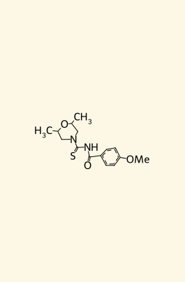 COc1ccc(C(=O)NC(=S)N2CC(C)OC(C)C2)cc1